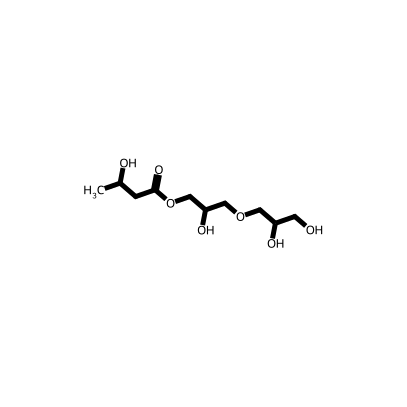 CC(O)CC(=O)OCC(O)COCC(O)CO